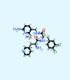 Cc1nc(N)ccc1CNC(=O)[C@H](Cc1ccc(Cl)c(Cl)c1)NC(=O)C(N)Cc1cccnc1